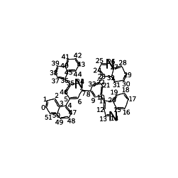 c1ccc2c(-c3cc(-c4cc(-c5ccnc6ccccc56)cc(-c5ccnc6ccccc56)c4)nc(-c4cccc5ccccc45)c3)cccc2c1